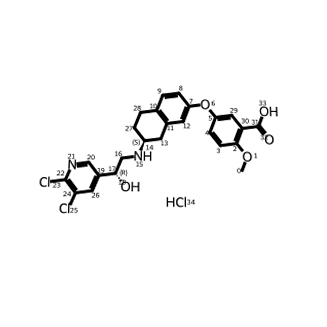 COc1ccc(Oc2ccc3c(c2)C[C@@H](NC[C@H](O)c2cnc(Cl)c(Cl)c2)CC3)cc1C(=O)O.Cl